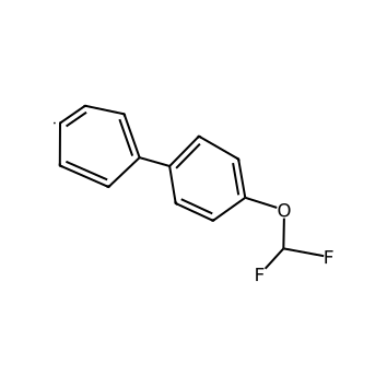 FC(F)Oc1ccc(-c2cc[c]cc2)cc1